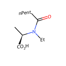 CCCCCC(=O)N(CC)[C@H](C)C(=O)O